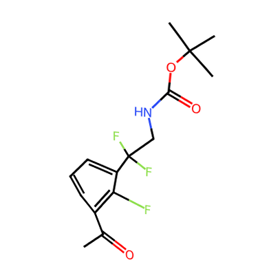 CC(=O)c1cccc(C(F)(F)CNC(=O)OC(C)(C)C)c1F